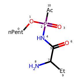 CCCCCOP(=O)(NC(=O)C(N)CC)C(C)=O